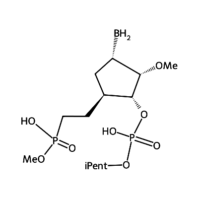 B[C@H]1C[C@H](CCP(=O)(O)OC)[C@@H](OP(=O)(O)OC(C)CCC)[C@H]1OC